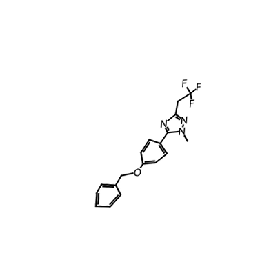 Cn1nc(CC(F)(F)F)nc1-c1ccc(OCc2ccccc2)cc1